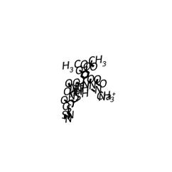 CCN1CCN(C(=O)NC(C(=O)N[C@]2(NC=O)C(=O)N3C(C(=O)[O-])=C(CSc4nncs4)CS[C@H]32)c2ccc(OC(C)=O)c(OC(C)=O)c2)C(=O)C1=O.[Na+]